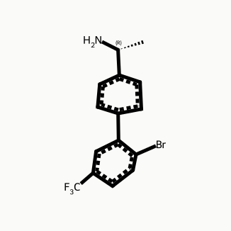 C[C@@H](N)c1ccc(-c2cc(C(F)(F)F)ccc2Br)cc1